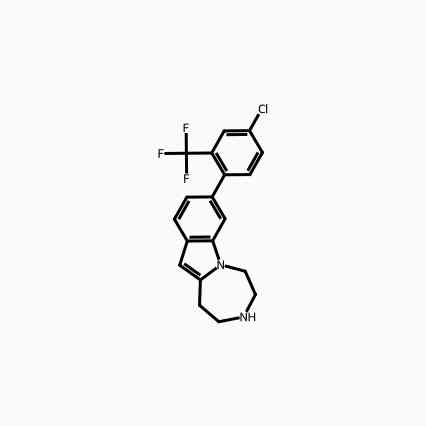 FC(F)(F)c1cc(Cl)ccc1-c1ccc2cc3n(c2c1)CCNCC3